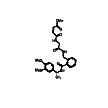 COC(=O)/C=C\C(=O)NCC(=O)NCc1ccccc1C(=O)N[C@H](C)c1ccc(OC)c(OC)c1